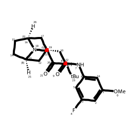 COc1cc(F)cc(NC(=O)C[C@@H]2C[C@H]3CC[C@@H](C2)N3CC(=O)NC(C)(C)C)c1